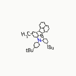 Cc1cc2c3c(c1)N(c1ccc(C(C)(C)C)cc1)c1cc(C(C)(C)C)ccc1B3C1=C2c2cccc3cccc1c23